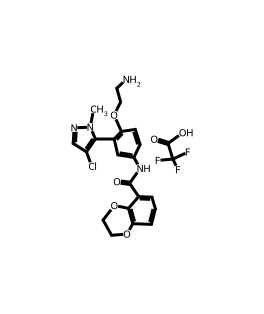 Cn1ncc(Cl)c1-c1cc(NC(=O)c2cccc3c2OCCO3)ccc1OCCN.O=C(O)C(F)(F)F